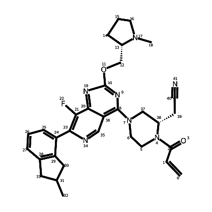 C=CC(=O)N1CCN(c2nc(OC[C@@H]3CCCN3C)nc3c(F)c(-c4cccc5c4CC(C)C5)ncc23)C[C@@H]1CC#N